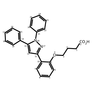 O=C(O)CCCOc1ccccc1-c1cc(-c2ccccc2)n(-c2ccccc2)n1